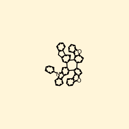 c1ccc(-n2c3ccccc3c3cc4c(cc32)-c2cc3c(cc2-c2c(ccc5oc6ccccc6c25)-c2ccc5oc6ccccc6c5c2-4)-c2ccccc2C3)cc1